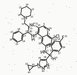 [2H]C(Nc1cc(Cl)c2ncc(C#N)c(N[C@H](CCN3CCCCC3)c3ccccc3)c2c1)(c1ccc(F)cc1)c1cn(C2CC2)nn1